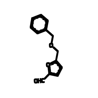 O=Cc1ccc(COCc2ccccc2)o1